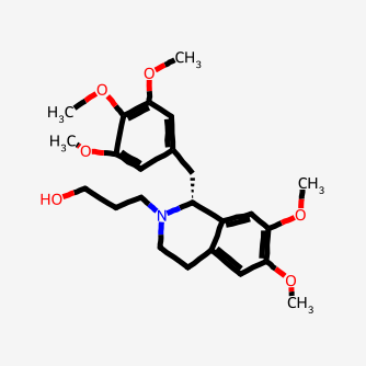 COc1cc2c(cc1OC)[C@@H](Cc1cc(OC)c(OC)c(OC)c1)N(CCCO)CC2